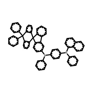 c1ccc(N(c2ccc(N(c3ccccc3)c3cccc4ccccc34)cc2)c2ccc3c(c2)-c2ccccc2C32c3ccccc3C(c3ccccc3)(c3ccccc3)c3ccccc32)cc1